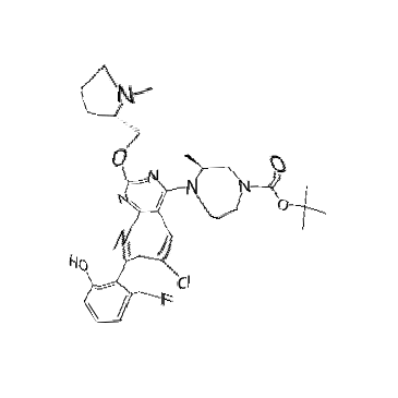 C[C@H]1CN(C(=O)OC(C)(C)C)CCN1c1nc(OC[C@@H]2CCCN2C)nc2nc(-c3c(O)cccc3F)c(Cl)cc12